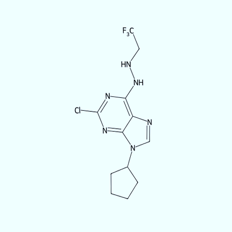 FC(F)(F)CNNc1nc(Cl)nc2c1ncn2C1CCCC1